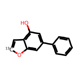 Oc1cc(-c2ccccc2)cc2o[13cH]cc12